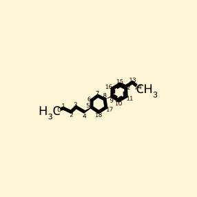 CCCCC[C@H]1CC[C@H](c2ccc(CC)cc2)CC1